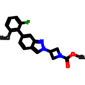 COc1cccc(F)c1-c1ccc2cn(C3CN(C(=O)OC(C)(C)C)C3)nc2c1